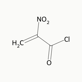 C=C(C(=O)Cl)[N+](=O)[O-]